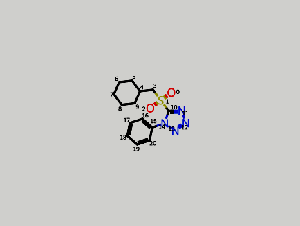 O=S(=O)(CC1CCCCC1)c1nnnn1-c1ccccc1